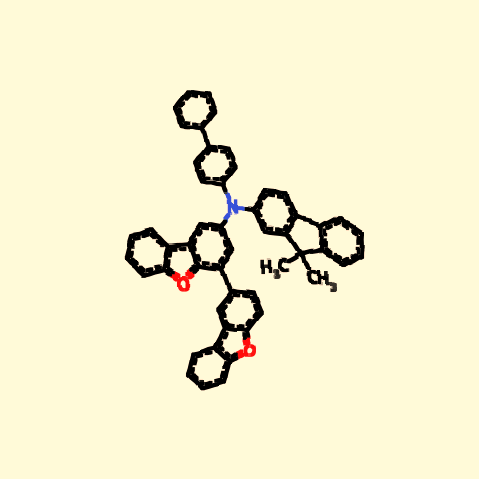 CC1(C)c2ccccc2-c2ccc(N(c3ccc(-c4ccccc4)cc3)c3cc(-c4ccc5oc6ccccc6c5c4)c4oc5ccccc5c4c3)cc21